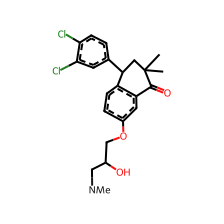 CNCC(O)COc1ccc2c(c1)C(=O)C(C)(C)CC2c1ccc(Cl)c(Cl)c1